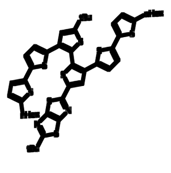 CCCCCCc1ccc(-c2ccc(-c3cc(-c4nc5sc(C(C)(C)C)nc5s4)sc3-c3sc(C(C)(C)C)cc3-c3ccc(-c4ccc(CCCCCC)s4)s3)s2)s1